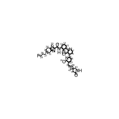 COc1nc(-c2ccnc(-c3cccc(NC(=O)c4nc5c(n4C)CCN(CCCF)C5)c3Cl)c2Cl)ccc1CN1CC2(CNC(=O)C2)C1